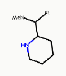 CCC(NC)C1CCCCN1